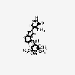 Cc1c(N2Cc3cccc(NC4CC(C)(C)NC(C)(C)C4)c3C2)cn[nH]c1=O